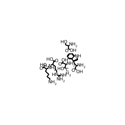 CC(O)C(N)C(=O)O.N=C(N)NCCCC(N)C(=O)O.NC(CO)C(=O)O.NC(Cc1c[nH]c2ccccc12)C(=O)O.NCCCCC(N)C(=O)O